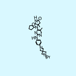 Cc1cnc(Nc2ccc(N3CC4(C3)CN(C(C)C)C4)cc2)nc1N(C1CCCC1)C1(C)CC(=O)NC1=O